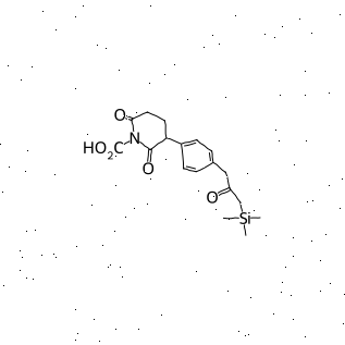 C[Si](C)(C)CC(=O)Cc1ccc(C2CCC(=O)N(C(=O)O)C2=O)cc1